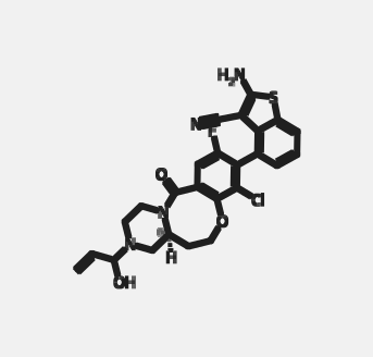 C=CC(O)N1CCN2C(=O)c3cc(F)c(-c4cccc5sc(N)c(C#N)c45)c(Cl)c3OCC[C@H]2C1